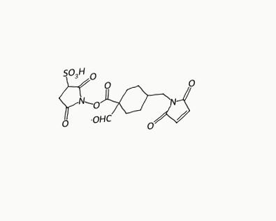 O=[C]C1(C(=O)ON2C(=O)CC(S(=O)(=O)O)C2=O)CCC(CN2C(=O)C=CC2=O)CC1